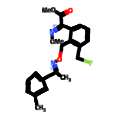 CO/N=C(/C(=O)OC)c1cccc(CF)c1CO/N=C(\C)c1cccc(C)c1